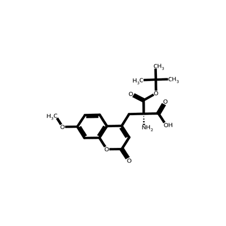 COc1ccc2c(C[C@](N)(C(=O)O)C(=O)OC(C)(C)C)cc(=O)oc2c1